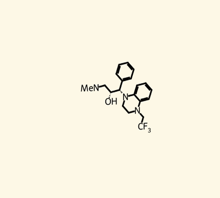 CNC[C@@H](O)[C@H](c1ccccc1)N1CCN(CC(F)(F)F)c2ccccc21